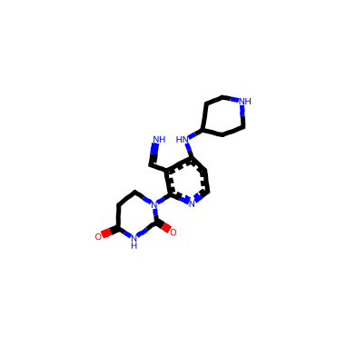 N=Cc1c(NC2CCNCC2)ccnc1N1CCC(=O)NC1=O